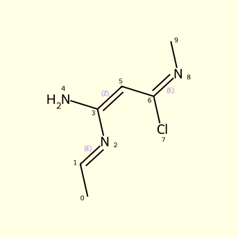 C/C=N/C(N)=C\C(Cl)=N/C